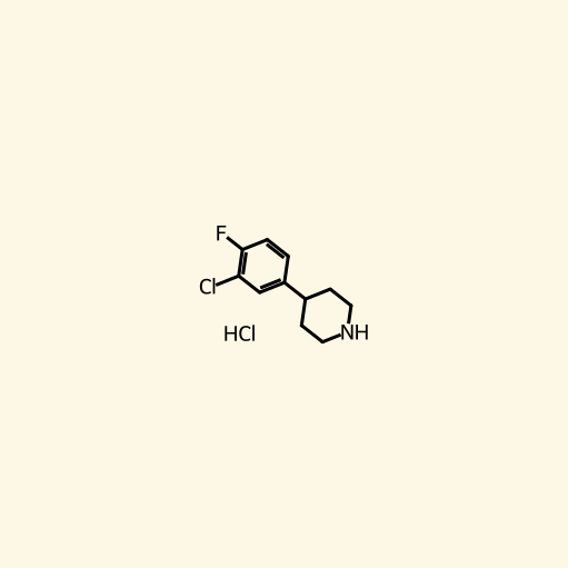 Cl.Fc1ccc(C2CCNCC2)cc1Cl